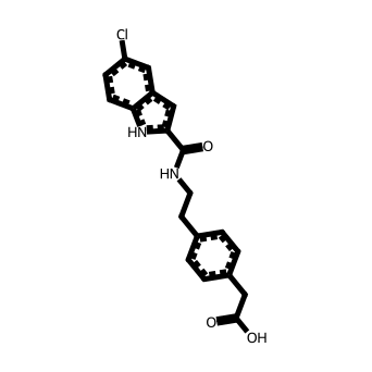 O=C(O)Cc1ccc(CCNC(=O)c2cc3cc(Cl)ccc3[nH]2)cc1